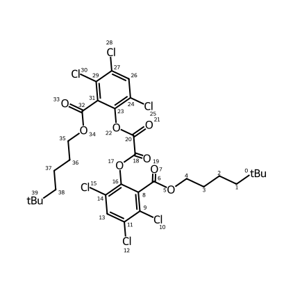 CC(C)(C)CCCCOC(=O)c1c(Cl)c(Cl)cc(Cl)c1OC(=O)C(=O)Oc1c(Cl)cc(Cl)c(Cl)c1C(=O)OCCCCC(C)(C)C